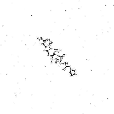 C[C@@H](NC(=O)Cn1cnnn1)[C@H]1C(=O)N2C(C(=O)O)=C(CN3CC(NC(=N)N)[C@@H](O)C3)[C@H](C)[C@H]12